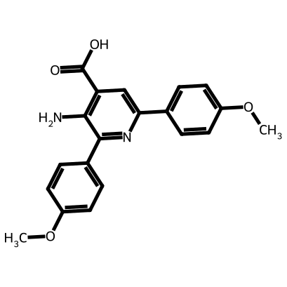 COc1ccc(-c2cc(C(=O)O)c(N)c(-c3ccc(OC)cc3)n2)cc1